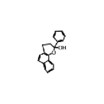 OC1(c2ccccc2)CCc2ccc3ccccc3c2O1